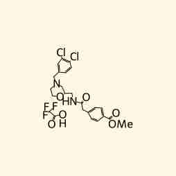 COC(=O)c1ccc(CC(=O)NCC2CN(Cc3ccc(Cl)c(Cl)c3)CCO2)cc1.O=C(O)C(F)(F)F